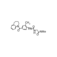 CNC(=O)CNC(=O)NCc1ccc(C(=O)N2CCCCc3ccccc32)cc1C